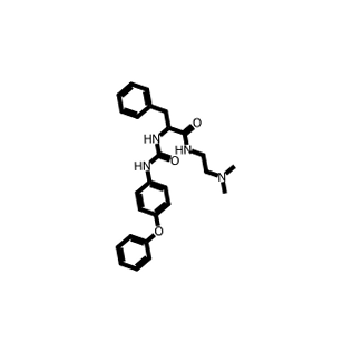 CN(C)CCNC(=O)C(Cc1ccccc1)NC(=O)Nc1ccc(Oc2ccccc2)cc1